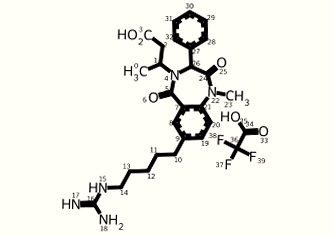 CC(CC(=O)O)N1C(=O)c2cc(CCCCCNC(=N)N)ccc2N(C)C(=O)C1c1ccccc1.O=C(O)C(F)(F)F